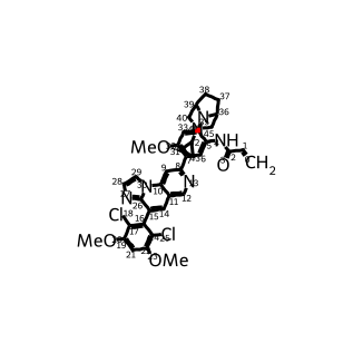 C=CC(=O)Nc1cc(-c2cc3c(cn2)cc(-c2c(Cl)c(OC)cc(OC)c2Cl)c2nccn23)c(OC)cc1N1C2CCC1CN(C1CC1)C2